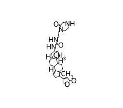 C[C@]12CC[C@H](NC(=O)NCCN3CCNCC3=O)C[C@H]1CC[C@H]1C3=CC[C@H](C4=CC(=O)OC4)[C@@]3(C)CC[C@@H]12